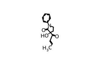 CC=CC(=O)[C@@]1(O)CCN(c2ccccc2)C1=O